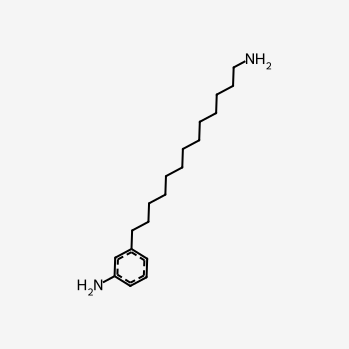 NCCCCCCCCCCCCCc1cccc(N)c1